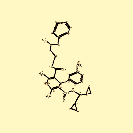 CC1=C(C(=O)OCCN(C)Cc2ccccc2)C(c2cccc([N+](=O)[O-])c2)C([PH](=O)OC(C2CC2)C2CC2)=C(C)N1